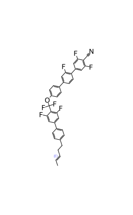 C/C=C/CCc1ccc(-c2cc(F)c(C(F)(F)Oc3ccc(-c4ccc(-c5cc(F)c(C#N)c(F)c5)c(F)c4)cc3)c(F)c2)cc1